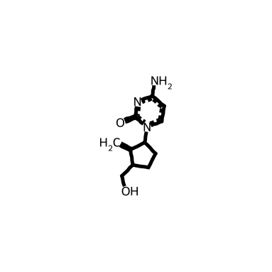 C=C1C(CO)CCC1n1ccc(N)nc1=O